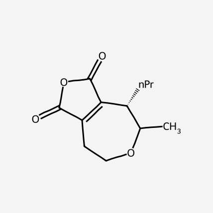 CCC[C@H]1C2=C(CCOC1C)C(=O)OC2=O